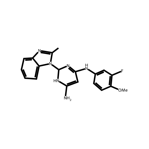 COc1ccc(NC2=NC(n3c(C)nc4ccccc43)NC(N)=C2)cc1F